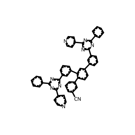 N#Cc1cccc(-c2ccc(-c3cccc(-c4nc(-c5ccccc5)nc(-c5ccncc5)n4)c3)cc2-c2cccc(-c3nc(-c4ccccc4)nc(-c4ccncc4)n3)c2)c1